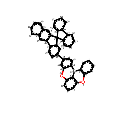 c1ccc2c(c1)Oc1cccc3c1B2c1ccc(-c2ccc4c(c2)C2(c5ccccc5-c5ccccc52)c2cc5ccccc5cc2-4)cc1O3